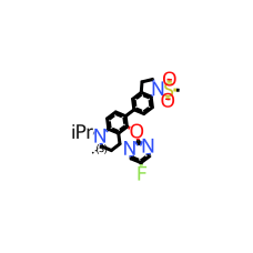 CC(C)N1c2ccc(-c3ccc4c(c3)CCN4S(C)(=O)=O)c(Oc3ncc(F)cn3)c2CC[C@@H]1C